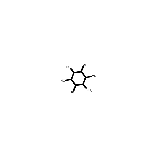 CC1C(O)C(O)C(O)C(O)C1O